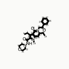 CCc1c(C(=O)NN2CCOCC2)n(C)c2cc(CC)n(CC(=O)c3ccccc3)c(=O)c12